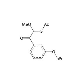 CCCOc1cccc(C(=O)C(OC)SC(C)=O)c1